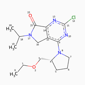 CCOC[C@H]1CCCN1c1nc(Cl)nc2c1CN(C(C)C)C2=O